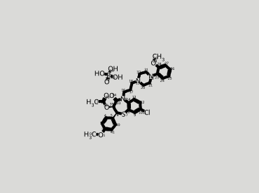 COc1ccc([C@@H]2Sc3cc(Cl)ccc3N(CCCN3CCN(c4ccccc4OC)CC3)C(=O)[C@@H]2OC(C)=O)cc1.O=P(O)(O)O